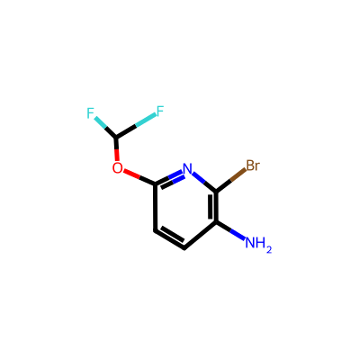 Nc1ccc(OC(F)F)nc1Br